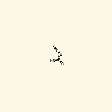 O=[PH](S)N=C=S